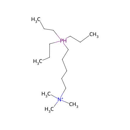 CCC[PH](CCC)(CCC)CCCCC[N+](C)(C)C